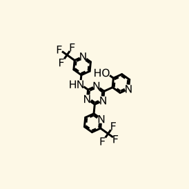 Oc1ccncc1-c1nc(Nc2ccnc(C(F)(F)F)c2)nc(-c2cccc(C(F)(F)F)n2)n1